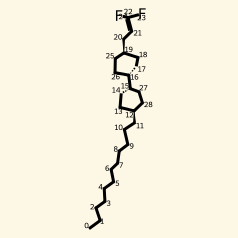 CCCCCCCCCCCC[C@H]1CC[C@H]([C@H]2CC[C@H](CC=C(F)F)CC2)CC1